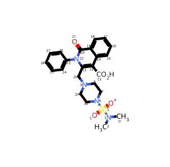 CN(C)S(=O)(=O)N1CCN(Cc2c(C(=O)O)c3ccccc3c(=O)n2-c2ccccc2)CC1